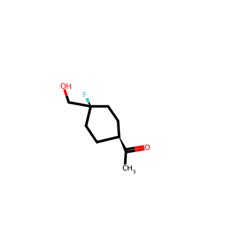 CC(=O)[C@H]1CC[C@](F)(CO)CC1